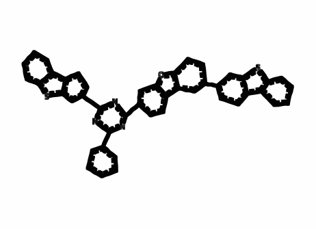 c1ccc(-c2nc(-c3ccc4c(c3)oc3ccc(-c5ccc6c(c5)sc5ccccc56)cc34)nc(-c3ccc4c(c3)sc3ccccc34)n2)cc1